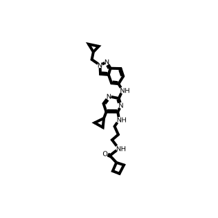 O=C(NCCCNc1nc(Nc2ccc3nn(CC4CC4)cc3c2)ncc1C1CC1)C1CCC1